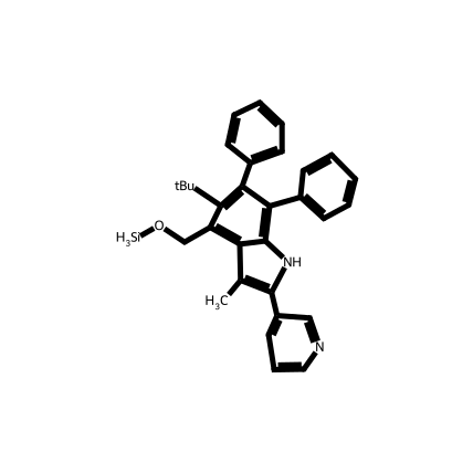 Cc1c(-c2cccnc2)[nH]c2c(-c3ccccc3)c(-c3ccccc3)c(C(C)(C)C)c(CO[SiH3])c12